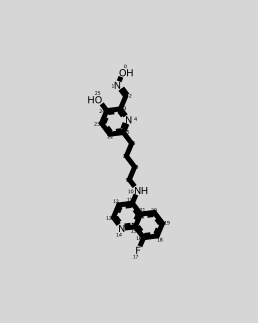 O/N=C/c1nc(CCCCNc2ccnc3c(F)cccc23)ccc1O